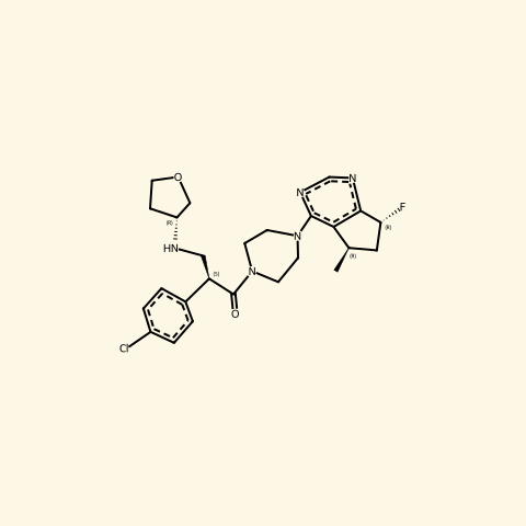 C[C@@H]1C[C@@H](F)c2ncnc(N3CCN(C(=O)[C@H](CN[C@@H]4CCOC4)c4ccc(Cl)cc4)CC3)c21